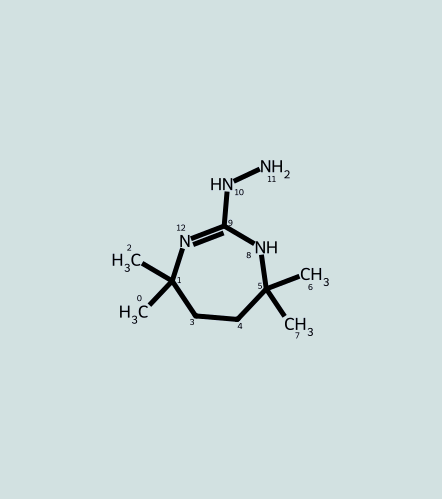 CC1(C)CCC(C)(C)NC(NN)=N1